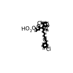 CC(CC(=O)O)CC(=O)c1c(CCCCOCc2cccc(Cl)c2)n(C)c2nccc(Cl)c12